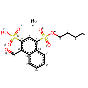 CCCCOS(=O)(=O)c1cc(S(=O)(=O)O)c(C=O)c2ccccc12.[Na]